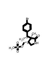 C[C@H](c1ccc(Br)cc1)[C@@]1(C)C(=O)NC[C@@H]1COS(C)(=O)=O